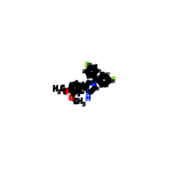 COc1ccc(CC2(C)CN(C(c3ccc(F)cc3)c3ccc(F)cc3)CCN2)cc1OC